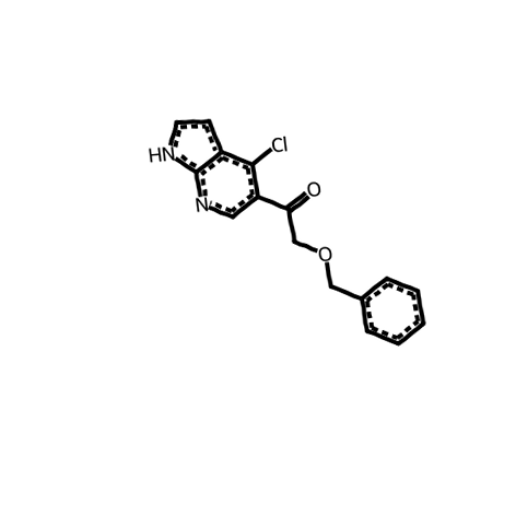 O=C(COCc1ccccc1)c1cnc2[nH]ccc2c1Cl